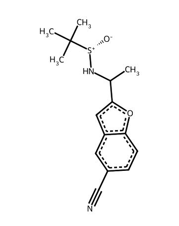 CC(N[S@@+]([O-])C(C)(C)C)c1cc2cc(C#N)ccc2o1